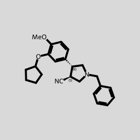 COc1ccc([C@@H]2CN(Cc3ccccc3)C[C@H]2C#N)cc1OC1CCCC1